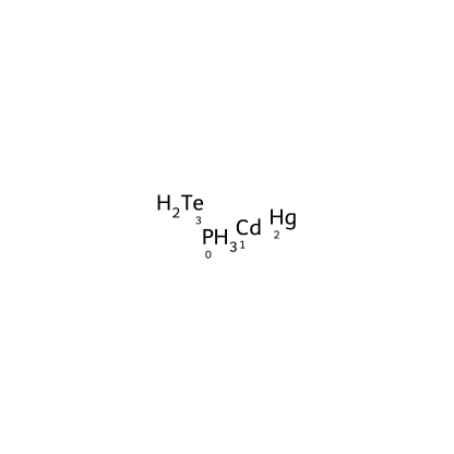 P.[Cd].[Hg].[TeH2]